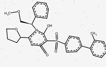 COC[C@@H](c1ccccc1)n1c(C2CCCO2)nc(=O)c(S(=O)(=O)c2ccc(-c3ccncc3C)cc2)c1O